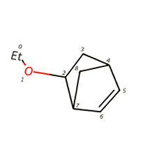 CCOC1CC2C=CC1C2